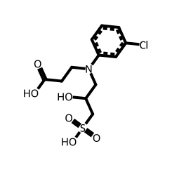 O=C(O)CCN(CC(O)CS(=O)(=O)O)c1cccc(Cl)c1